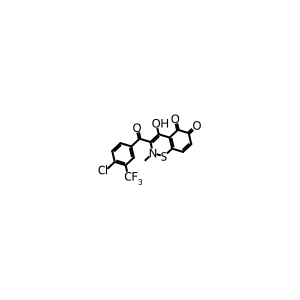 Cn1sc2ccc(=O)c(=O)c=2c(O)c1C(=O)c1ccc(Cl)c(C(F)(F)F)c1